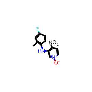 Cc1cc(F)ccc1Nc1c[n+]([O-])ccc1[N+](=O)[O-]